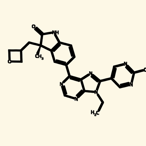 CCn1c(-c2cnc(C)nc2)nc2c(-c3ccc4c(c3)[C@](C)(CC3COC3)C(=O)N4)ncnc21